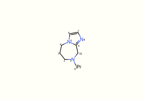 CC(C)N1CCCn2ccnc2C1